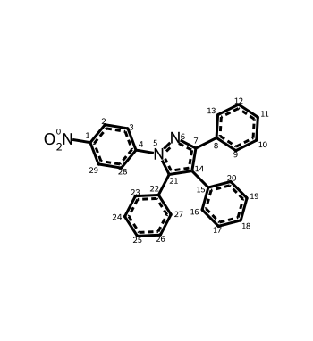 O=[N+]([O-])c1ccc(-n2nc(-c3ccccc3)c(-c3ccccc3)c2-c2ccccc2)cc1